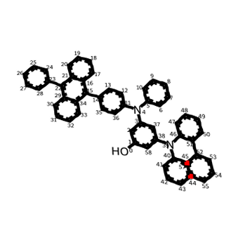 Oc1cc(N(c2ccccc2)c2ccc(-c3c4ccccc4c(-c4ccccc4)c4ccccc34)cc2)cc(N(c2ccccc2)c2ccccc2-c2ccccc2)c1